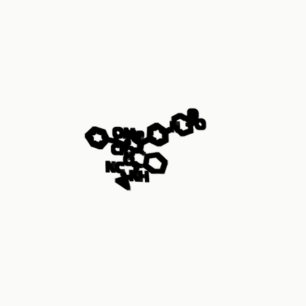 COC(c1ccccc1)(c1nc(-c2ccc(N3CCS(=O)(=O)CC3)cc2)c([C@@H]2CCCC[C@H]2C(=O)NC2(C#N)CC2)o1)C(F)(F)F